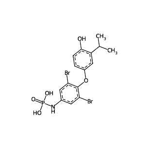 CC(C)c1cc(Oc2c(Br)cc(NP(=O)(O)O)cc2Br)ccc1O